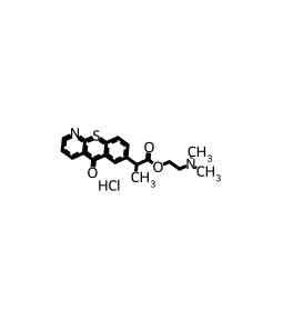 CC(C(=O)OCCN(C)C)c1ccc2sc3ncccc3c(=O)c2c1.Cl